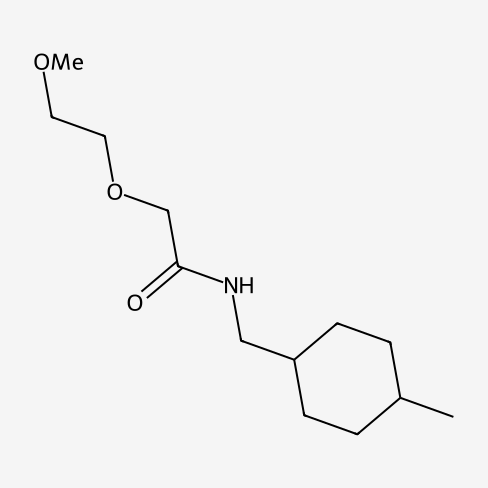 COCCOCC(=O)NCC1CCC(C)CC1